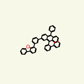 c1ccc(-c2ccccc2-c2c3ccccc3c(-c3ccccc3)c3ccc(-c4cccc(-c5cccc6c5oc5ccccc56)c4)cc23)cc1